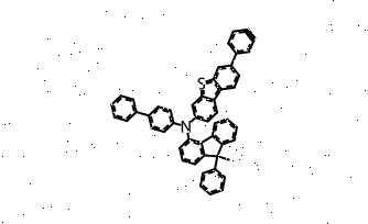 CC1(c2ccccc2)c2ccccc2-c2c(N(c3ccc(-c4ccccc4)cc3)c3ccc4c(c3)sc3cc(-c5cc#ccc5)ccc34)cccc21